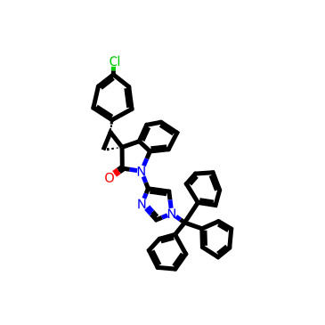 O=C1N(c2cn(C(c3ccccc3)(c3ccccc3)c3ccccc3)cn2)c2ccccc2[C@@]12C[C@@H]2c1ccc(Cl)cc1